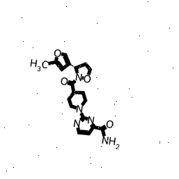 Cc1cc([C@@H]2CCON2C(=O)C2CCN(c3nccc(C(N)=O)n3)CC2)co1